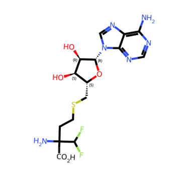 Nc1ncnc2c1ncn2[C@@H]1O[C@H](CSCCC(N)(C(=O)O)C(F)F)[C@@H](O)[C@H]1O